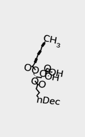 CC#CC#CC#CC(=O)OC[C@H](COP(=O)(O)O)OC(=O)CCCCCCCCCCCCC